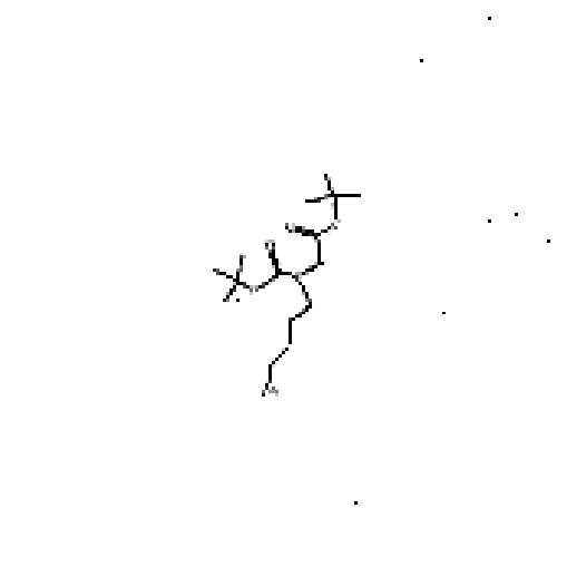 CC(C)(C)OC(=O)CN(CCCCO)C(=O)OC(C)(C)C